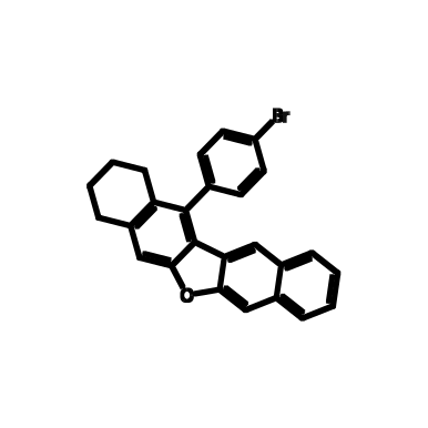 Brc1ccc(-c2c3c(cc4oc5cc6ccccc6cc5c24)CCCC3)cc1